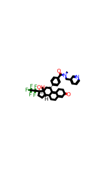 CN(Cc1cccnc1)C(=O)c1ccc([C@H]2CC3(C)[C@@H](CC[C@@]3(O)C(F)(F)C(F)(F)F)C3CCC4=CC(=O)CCC4=C32)cc1